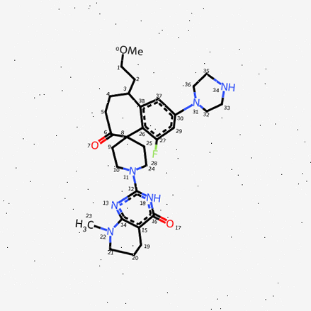 COCCC1CCC(=O)C2(CCN(c3nc4c(c(=O)[nH]3)CCCN4C)CC2)c2c(F)cc(N3CCNCC3)cc21